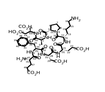 C[C@H](NC(=O)[C@@H]1CCCN1C(=O)[C@H](CCCCN)NC(=O)[C@H](CCC(=O)O)NC(=O)[C@H](CC(=O)O)NC(=O)[C@H](Cc1ccccc1)NC(=O)[C@@H](N)CCC(=O)O)C(=O)N[C@@H](CC(=O)O)C(=O)O